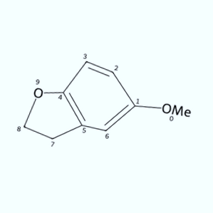 [CH]Oc1ccc2c(c1)CCO2